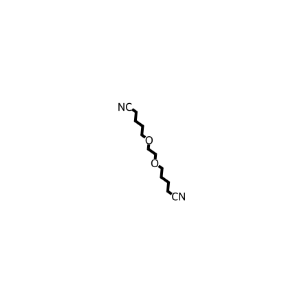 N#CCCCCOCCOCCCCC#N